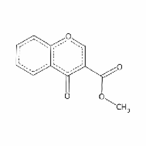 COC(=O)c1coc2ccccc2c1=O